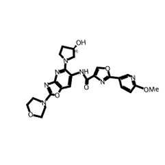 COc1ccc(-c2nc(C(=O)Nc3cc4oc(N5CCOCC5)nc4nc3N3CC[C@@H](O)C3)co2)cn1